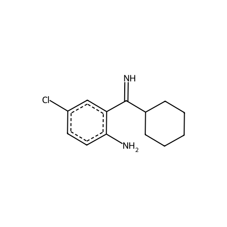 N=C(c1cc(Cl)ccc1N)C1CCCCC1